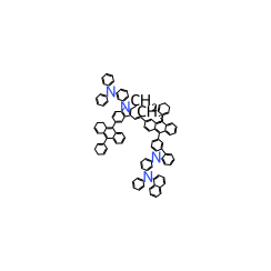 C=Cc1c(/C=C(\C)c2ccc3c(-c4ccc5c(c4)c4ccccc4n5-c4cccc(N(c5ccccc5)c5cccc6ccccc56)c4)c4ccccc4c(C4=CCCC=C4)c3c2)c2cc(-c3c4c(c(C5=CCCC=C5)c5ccccc35)C=CCC4)ccc2n1-c1cccc(N(c2ccccc2)c2ccccc2)c1